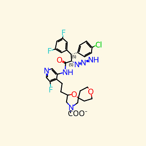 N=[N+]=N[C@H](C(=O)Nc1cncc(F)c1CCC1CN(C(=O)[O-])CC2(CCOCC2)O1)[C@@H](c1ccc(Cl)cc1)c1cc(F)cc(F)c1